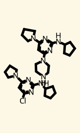 Clc1cc(N2CCCC2)nc(NC2CCCC2)n1.c1c(N2CCCC2)nc(NC2CCCC2)nc1N1CCNCC1